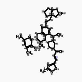 Cc1noc(/C=C/C(=O)N2CC[C@@H](N(C)c3nc(OC[C@@]45CCCN4C[C@H](F)C5)nc4c3C[C@@H](C)[C@H](c3nc(N)cc(C)c3C(F)(F)F)C4)C2)n1